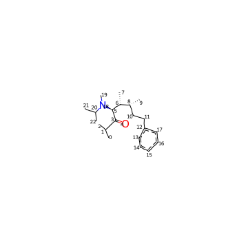 CC(C)C(=O)[C@H]([C@H](C)[C@H](C)CCc1ccccc1)N(C)C(C)C